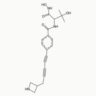 CC(C)(O)C(NC(=O)c1ccc(C#CC#CCC2CNC2)cc1)C(=O)NO